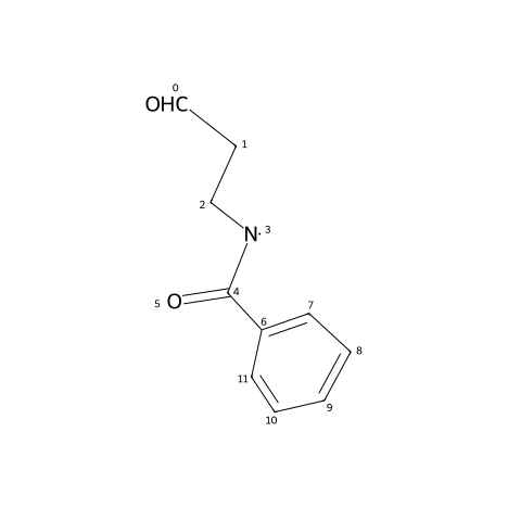 O=CCC[N]C(=O)c1ccccc1